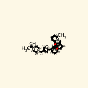 Cc1cccc(-c2n[nH]cc2C2=C\C=C\C3=CC(c4nc(CN5CCN(C(C)C)CC5)co4)=CCC=C3/C=C\2)n1